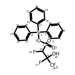 O=S(=O)(OS(c1ccccc1)(c1ccccc1)c1ccccc1)C(F)C(O)(F)C(F)(F)F